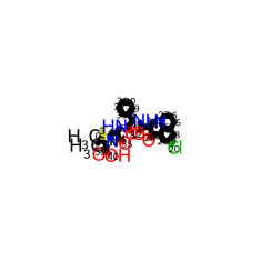 CC1(C)SC2C(NC(=O)C(NC(=O)c3cn4c5c(cc(Cl)cc5c3=O)CCC4)c3ccccc3)C(=O)N2C1C(=O)O